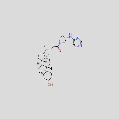 C[C@H](CCC(=O)N1CC[C@H](Nc2ccncn2)C1)[C@H]1CC[C@H]2[C@@H]3CC=C4C[C@@H](O)CC[C@]4(C)[C@H]3CC[C@]12C